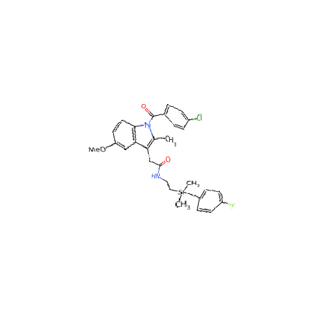 COc1ccc2c(c1)c(CC(=O)NCC[Si](C)(C)c1ccc(F)cc1)c(C)n2C(=O)c1ccc(Cl)cc1